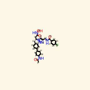 CC(=O)Nc1ccc(-c2ccc(C[C@H](CC(=O)NO)n3cc(CNC(=O)c4ccc(F)cc4)nn3)cc2)cc1